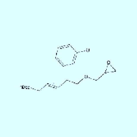 CCCCCCCCCCC/C=C/CCOCC1CO1.Oc1ccccc1